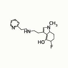 CN1C=C(CCNCCc2ccccn2)C2=C(O)C(F)CCC21